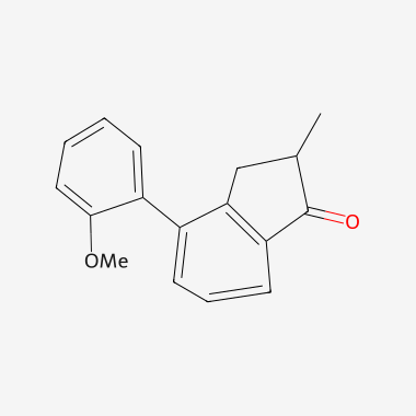 COc1ccccc1-c1cccc2c1CC(C)C2=O